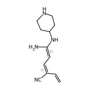 C=C/C(C#N)=C\C=C(/N)NC1CCNCC1